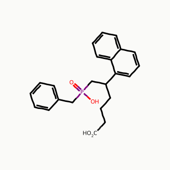 O=C(O)CCCC(CP(=O)(O)Cc1ccccc1)c1cccc2ccccc12